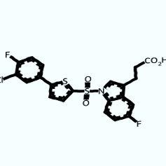 O=C(O)CCc1cn(S(=O)(=O)c2ccc(-c3ccc(F)c(Cl)c3)s2)c2ccc(F)cc12